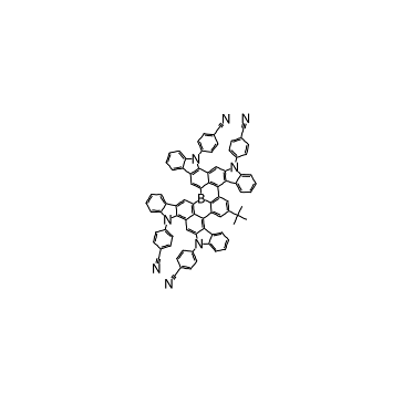 CC(C)(C)c1cc2c3c(c1)-c1c4c(cc5c6ccccc6n(-c6ccc(C#N)cc6)c5c4cc4c1c1ccccc1n4-c1ccc(C#N)cc1)B3c1cc3c4ccccc4n(-c4ccc(C#N)cc4)c3c3cc4c(c-2c13)c1ccccc1n4-c1ccc(C#N)cc1